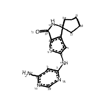 Nc1cc(Nc2cc3c(s2)C(=O)NC32CCCC2)ncn1